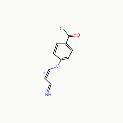 N=C/C=C\Nc1ccc(C(=O)Cl)cc1